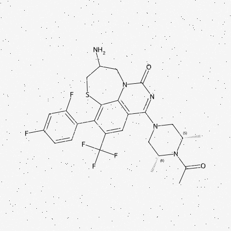 CC(=O)N1[C@H](C)CN(c2nc(=O)n3c4c(c(-c5ccc(F)cc5F)c(C(F)(F)F)cc24)SCC(N)C3)C[C@@H]1C